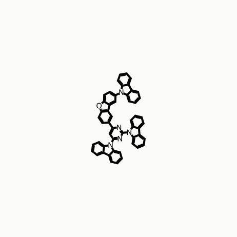 c1ccc2c(c1)c1ccccc1n2-c1ccc2oc3ccc(-c4cc(-n5c6ccccc6c6ccccc65)nc(-n5c6ccccc6c6ccccc65)n4)cc3c2c1